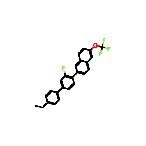 CCc1ccc(-c2ccc(-c3ccc4cc(OC(F)(F)F)ccc4c3)c(F)c2)cc1